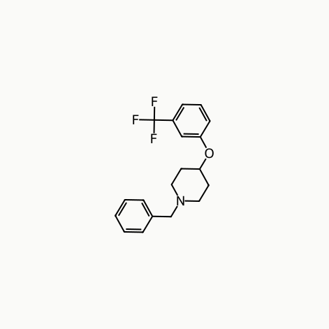 FC(F)(F)c1cccc(OC2CCN(Cc3ccccc3)CC2)c1